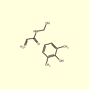 C=CC(=O)NCO.Cc1cccc(C)c1O